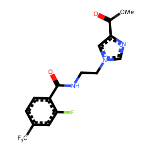 COC(=O)c1cn(CCNC(=O)c2ccc(C(F)(F)F)cc2F)cn1